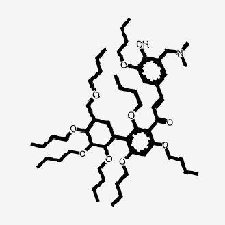 CCCCOCC1CC(c2c(OCCCC)cc(OCCCC)c(C(=O)/C=C/c3cc(CN(C)C)c(O)c(OCCCC)c3)c2OCCCC)C(OCCCC)C(OCCCC)C1OCCCC